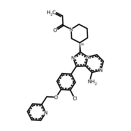 C=CC(=O)N1CCC[C@@H](c2nc(-c3ccc(OCc4ccccn4)c(Cl)c3)c3c(N)nccn23)C1